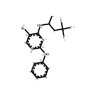 CC(CC(F)(F)F)Nc1nc(Nc2ccccc2)ncc1Br